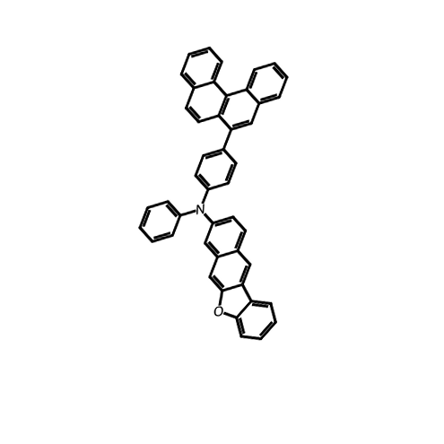 c1ccc(N(c2ccc(-c3cc4ccccc4c4c3ccc3ccccc34)cc2)c2ccc3cc4c(cc3c2)oc2ccccc24)cc1